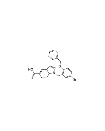 O=C(O)C1=CC2C=NN(Cc3cc(Br)ccc3OCc3ccccc3)C2C=C1